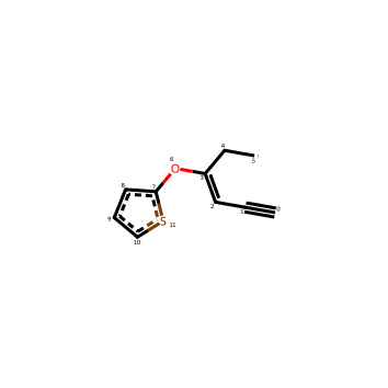 C#CC=C(C[CH2])Oc1cccs1